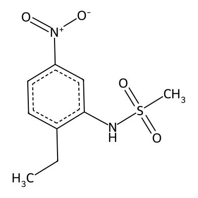 CCc1ccc([N+](=O)[O-])cc1NS(C)(=O)=O